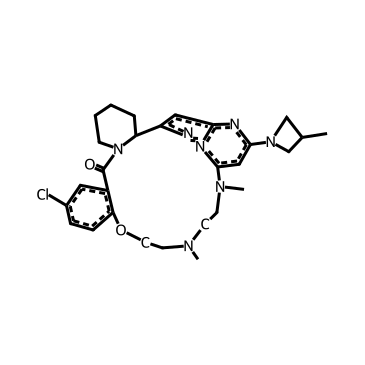 CC1CN(c2cc3n4nc(cc4n2)C2CCCCN2C(=O)c2cc(Cl)ccc2OCCN(C)CCN3C)C1